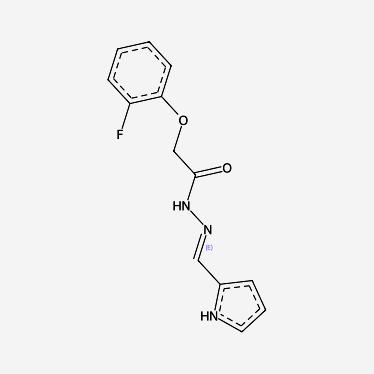 O=C(COc1ccccc1F)N/N=C/c1ccc[nH]1